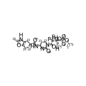 CC(C)OP1(=O)OC[C@H]2OC(n3ccc(NC(=O)c4ccc5c(c4)NC(C)O5)nc3=O)C(F)(F)[C@@H]2O1